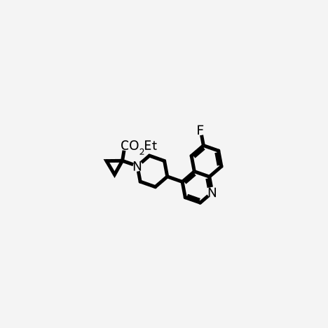 CCOC(=O)C1(N2CCC(c3ccnc4ccc(F)cc34)CC2)CC1